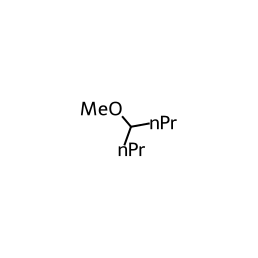 [CH2]CCC(CC[CH2])OC